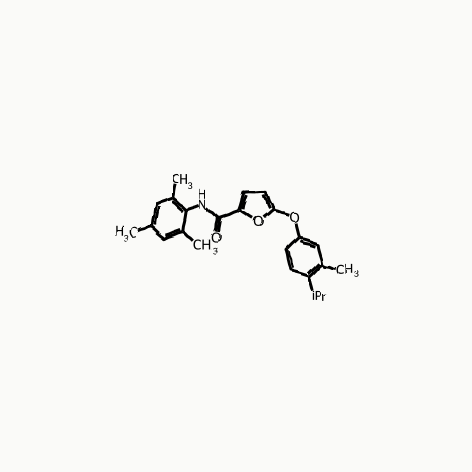 Cc1cc(C)c(NC(=O)c2ccc(Oc3ccc(C(C)C)c(C)c3)o2)c(C)c1